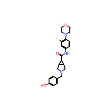 O=C(Nc1ccc(N2CCOCC2)c(F)c1)C1C2CN(Cc3ccc(O)cc3)CC21